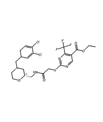 CCOC(=O)c1cnc(SCC(=O)NC[C@H]2CN(CC3C=C(Cl)C(Cl)=CC3)CCO2)nc1C(F)(F)F